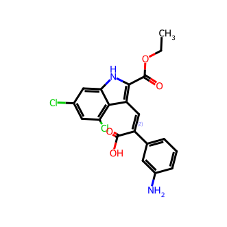 CCOC(=O)c1[nH]c2cc(Cl)cc(Cl)c2c1/C=C(\C(=O)O)c1cccc(N)c1